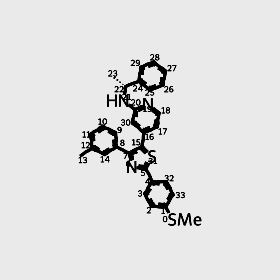 CSc1ccc(-c2nc(-c3cccc(C)c3)c(-c3ccnc(N[C@H](C)c4ccccc4)c3)s2)cc1